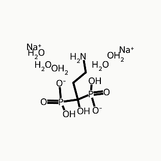 NCCC(O)(P(=O)([O-])O)P(=O)([O-])O.O.O.O.O.O.[Na+].[Na+]